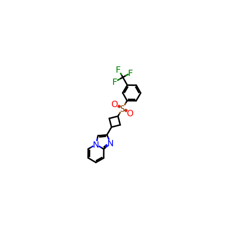 O=S(=O)(c1cccc(C(F)(F)F)c1)C1CC(c2cn3ccccc3n2)C1